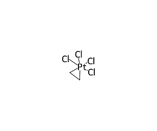 [Cl][Pt]1([Cl])([Cl])([Cl])[CH2][CH2]1